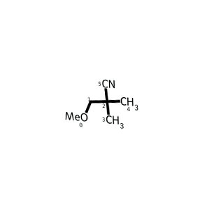 COCC(C)(C)C#N